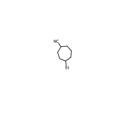 CCC1CCCC(C#N)CC1